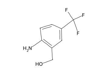 Nc1ccc(C(F)(F)F)cc1CO